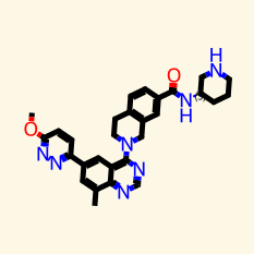 COc1ccc(-c2cc(C)c3ncnc(N4CCc5ccc(C(=O)N[C@H]6CCCNC6)cc5C4)c3c2)nn1